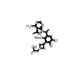 COc1c(C(C)n2nc(C)c3c(N)ncnc32)cc(Cl)c(Cl)c1C1CN(C[C@@H](C)O)C1